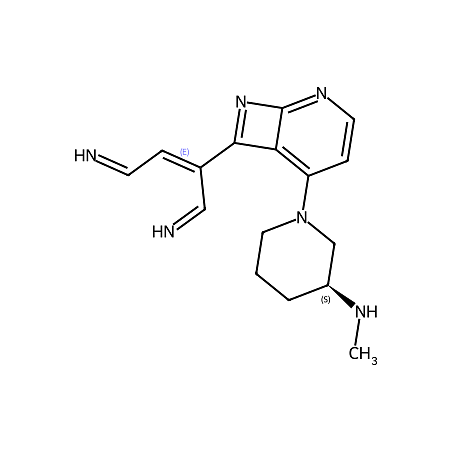 CN[C@H]1CCCN(c2ccnc3c2C(/C(C=N)=C/C=N)=N3)C1